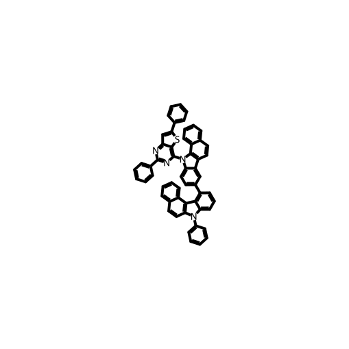 c1ccc(-c2nc(-n3c4ccc(-c5cccc6c5c5c7ccccc7ccc5n6-c5ccccc5)cc4c4ccc5ccccc5c43)c3sc(-c4ccccc4)cc3n2)cc1